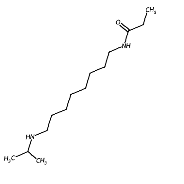 CCC(=O)NCCCCCCCCNC(C)C